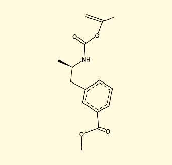 C=C(C)OC(=O)N[C@H](C)Cc1cccc(C(=O)OC)c1